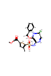 COC(=O)c1cc(C)c(S(=O)(=O)Nc2ncc(Br)nc2OCc2ccccc2)s1